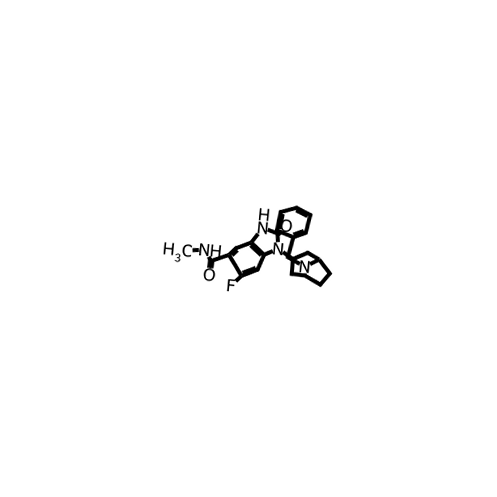 CNC(=O)c1cc2[nH]c(=O)n(C3CC4CCC(C3)N4Cc3ccccc3)c2cc1F